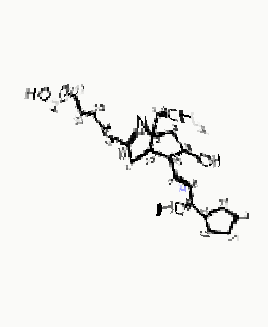 C=CC12CC(O)C(/C=C/C(O)C3CCCC3)C1CC(SCCCC(=O)O)=N2